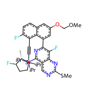 COCOc1cc(-c2nc(N3CC[C@@H](F)[C@@H]3C)c3cnc(SC)nc3c2F)c2c(C#C[Si](C(C)C)(C(C)C)C(C)C)c(F)ccc2c1